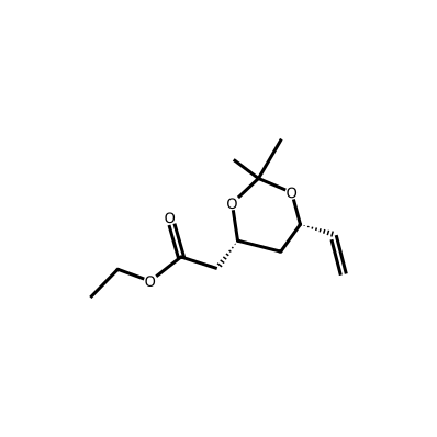 C=C[C@@H]1C[C@H](CC(=O)OCC)OC(C)(C)O1